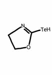 [TeH]C1=NCCO1